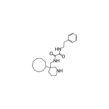 O=C(NCCc1ccccc1)C(=O)NCC1(C2CCCCCCCC2)CCCNC1